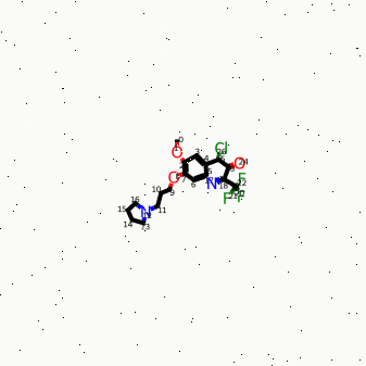 COc1cc2c(cc1OCCCN1CCCC1)N=C(C(F)(F)F)C(=O)C2Cl